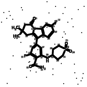 CC1(C)CC(=O)n2c(c(-c3cc(F)c(C(N)=O)c(NC4CCS(=O)(=O)CC4)c3)c3ccc(F)cc32)C1